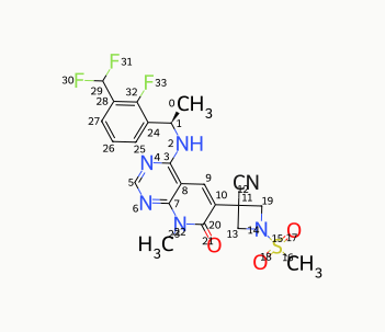 C[C@@H](Nc1ncnc2c1cc(C1(C#N)CN(S(C)(=O)=O)C1)c(=O)n2C)c1cccc(C(F)F)c1F